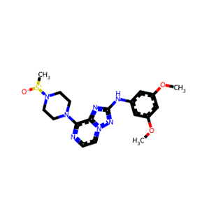 COc1cc(Nc2nc3c(N4CCN([S+](C)[O-])CC4)nccn3n2)cc(OC)c1